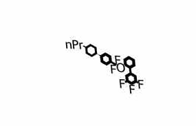 CCC[C@H]1CC[C@H](c2ccc(C(F)(F)Oc3ccccc3-c3cc(F)c(F)c(F)c3)cc2)CC1